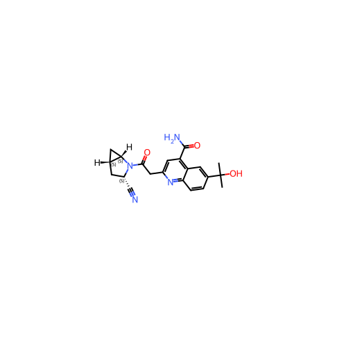 CC(C)(O)c1ccc2nc(CC(=O)N3[C@H](C#N)C[C@@H]4C[C@@H]43)cc(C(N)=O)c2c1